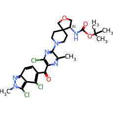 Cc1nc(C(=O)c2ccc3nn(C)c(Cl)c3c2Cl)c(Cl)nc1N1CCC2(CC1)COC[C@H]2NC(=O)OC(C)(C)C